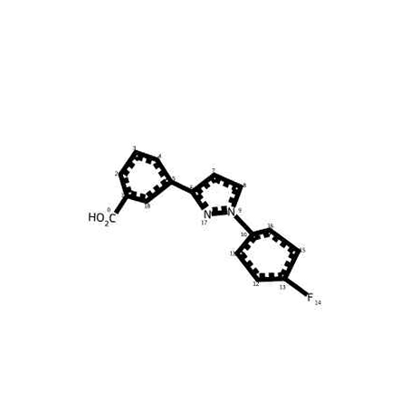 O=C(O)c1cccc(-c2ccn(-c3ccc(F)cc3)n2)c1